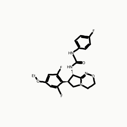 CCOc1cc(F)c([C@@H]2CN3CCON=C3[C@H]2NC(=O)Nc2ccc(F)cc2)c(F)c1